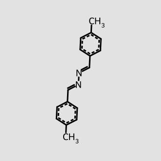 Cc1ccc(/C=N/N=C/c2ccc(C)cc2)cc1